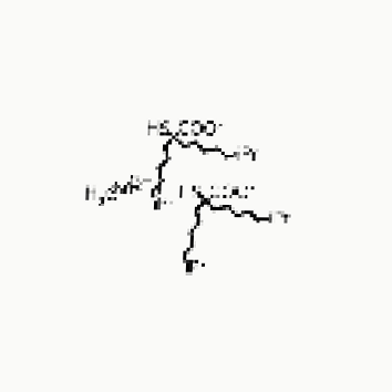 CC(C)CCCCCC(S)(CCCCCC(C)C)C(=O)[O-].CC(C)CCCCCC(S)(CCCCCC(C)C)C(=O)[O-].[CH3][Sn+2][CH3]